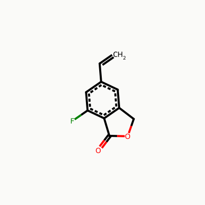 C=Cc1cc(F)c2c(c1)COC2=O